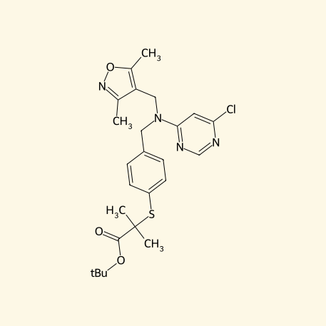 Cc1noc(C)c1CN(Cc1ccc(SC(C)(C)C(=O)OC(C)(C)C)cc1)c1cc(Cl)ncn1